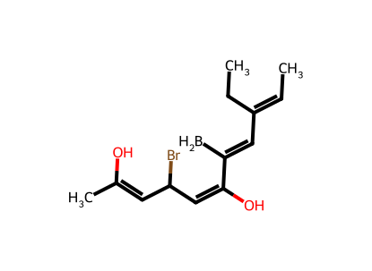 BC(=C\C(=C\C)CC)/C(O)=C\C(Br)C=C(C)O